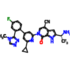 Cn1cnnc1-c1cc(F)ccc1-c1cc(C2CC2)nc(-n2cc(C#N)c3cc([C@H](N)C(F)(F)F)[nH]c3c2=O)c1